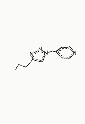 CCCc1cn(-c2ccncc2)nn1